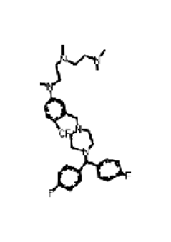 CN(C)CCN(C)CCN(C)c1ccc(C(F)(F)F)c(CN2CCN(C(c3ccc(F)cc3)c3ccc(F)cc3)CC2)c1